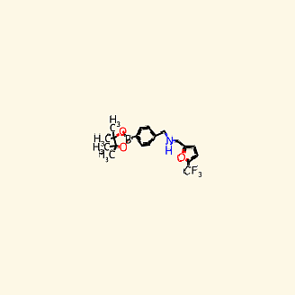 CC1(C)OB(c2ccc(CNCc3ccc(C(F)(F)F)o3)cc2)OC1(C)C